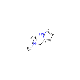 CN(C)Cc1cc[c][nH]1